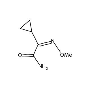 CON=C(C(N)=O)C1CC1